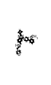 COc1ccccc1C1CCN(c2nc(C3CCC3)nc3ccc(CNCCN4CCOCC4)cc23)CC1